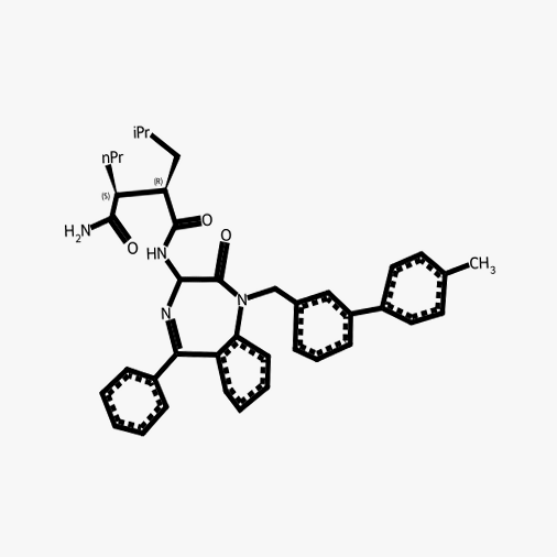 CCC[C@H](C(N)=O)[C@@H](CC(C)C)C(=O)NC1N=C(c2ccccc2)c2ccccc2N(Cc2cccc(-c3ccc(C)cc3)c2)C1=O